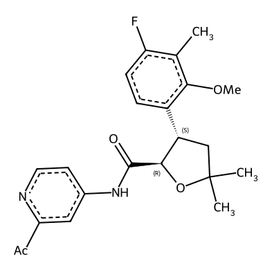 COc1c([C@@H]2CC(C)(C)O[C@H]2C(=O)Nc2ccnc(C(C)=O)c2)ccc(F)c1C